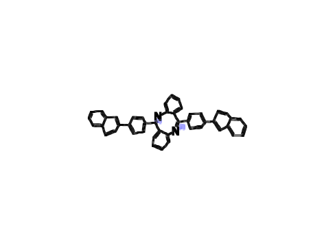 c1ccc2c(c1)/N=C(/c1ccc(-c3ccc4ccccc4c3)cc1)c1ccccc1/N=C\2c1ccc(-c2ccc3ccccc3c2)cc1